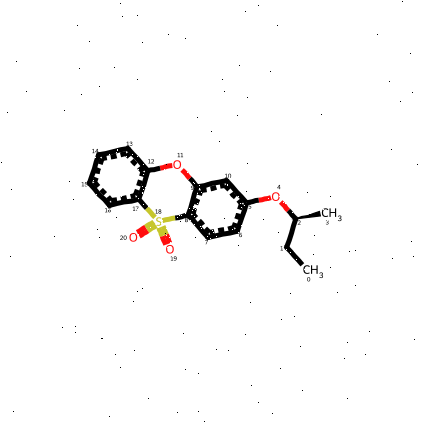 CC[C@H](C)Oc1ccc2c(c1)Oc1ccccc1S2(=O)=O